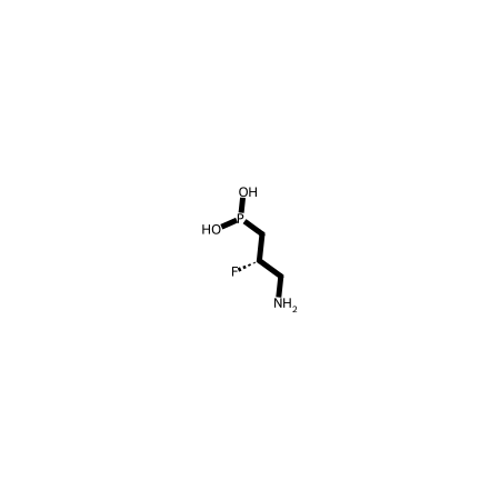 NC[C@H](F)CP(O)O